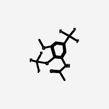 COc1cc(C(F)(F)F)cc(NC(C)=O)c1OC(F)(F)F